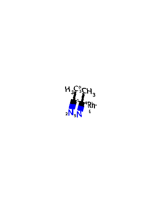 CC#N.CC#N.[Rh]